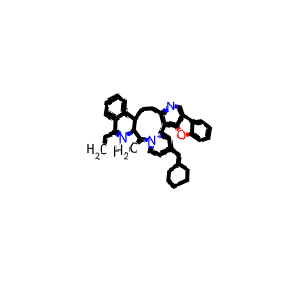 C=CC1=NC2C(=C)[n+]3ccc(CC4CCCCC4)cc3-c3c(ncc4c3oc3ccccc34)CCC2c2ccccc21